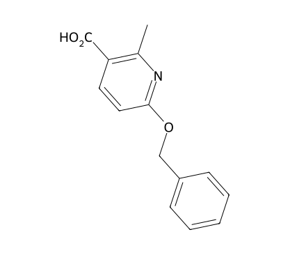 Cc1nc(OCc2ccccc2)ccc1C(=O)O